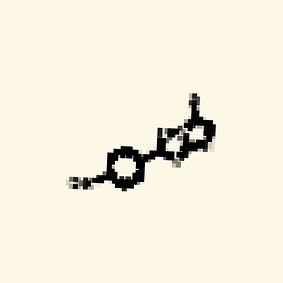 O=Cc1ccc(-c2nn3c(Br)cnc3s2)cc1